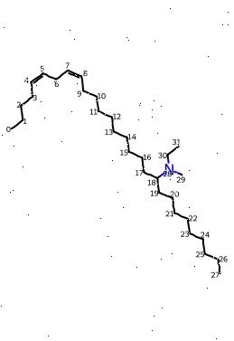 CCCC/C=C\C/C=C\CCCCCCCCCC(CCCCCCCCC)N(C)CC